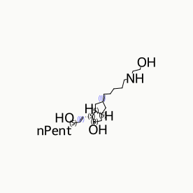 CCCCC[C@H](O)/C=C/[C@@H]1[C@H]2C/C(=C/CCCCNCCO)C[C@H]2C[C@H]1O